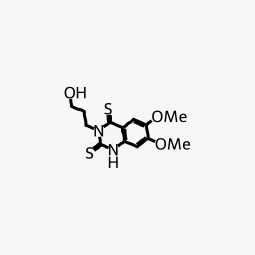 COc1cc2[nH]c(=S)n(CCCO)c(=S)c2cc1OC